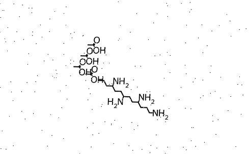 CC(=O)O.CC(=O)O.CC(=O)O.CC(=O)O.CCCC(N)CCC(N)CCC(N)CCCN